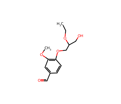 CCOC(CO)COc1ccc(C=O)cc1OC